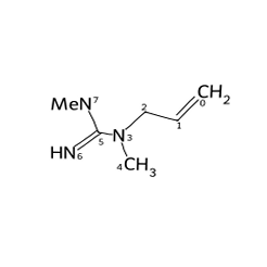 C=CCN(C)C(=N)NC